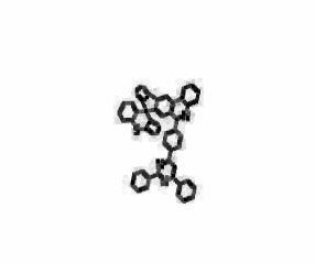 c1ccc(-c2cc(-c3ccc(-c4nc5ccccc5c5cc6c(cc45)C4(c5ccccc5Sc5ccccc54)c4ccccc4-6)cc3)nc(-c3ccccc3)n2)cc1